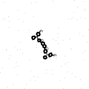 CC(C)c1ccc(N(c2ccccc2)c2ccc3c(c2)oc2cc4cc5oc6cc(N(c7ccccc7)c7ccc(C(C)C)cc7)ccc6c5cc4cc23)cc1